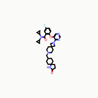 O=C1CCC2(CCC(CN3CCC4(CC3)CN(c3ncncc3Oc3ccc(F)cc3C(=O)N(C3CC3)C3CC3)C4)CC2)N1